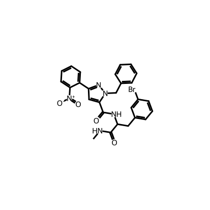 CNC(=O)C(Cc1cccc(Br)c1)NC(=O)c1cc(-c2ccccc2[N+](=O)[O-])nn1Cc1ccccc1